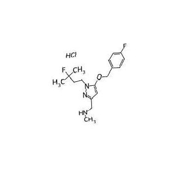 CNCc1cc(OCc2ccc(F)cc2)n(CCC(C)(C)F)n1.Cl